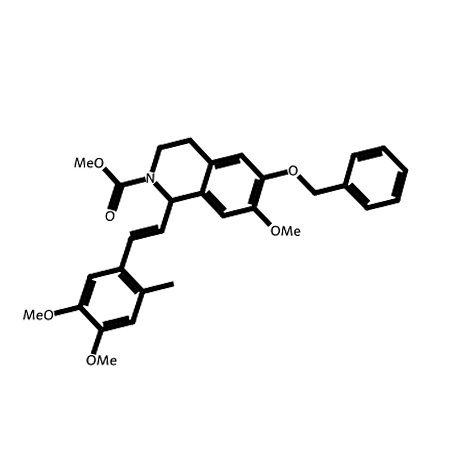 COC(=O)N1CCc2cc(OCc3ccccc3)c(OC)cc2C1C=Cc1cc(OC)c(OC)cc1C